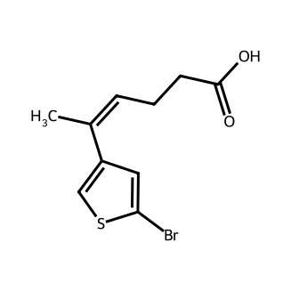 C/C(=C/CCC(=O)O)c1csc(Br)c1